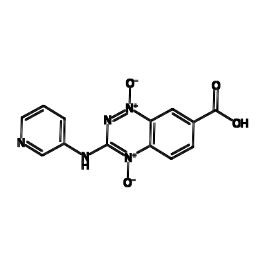 O=C(O)c1ccc2c(c1)[n+]([O-])nc(Nc1cccnc1)[n+]2[O-]